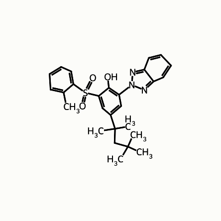 Cc1ccccc1S(=O)(=O)c1cc(C(C)(C)CC(C)(C)C)cc(-n2nc3ccccc3n2)c1O